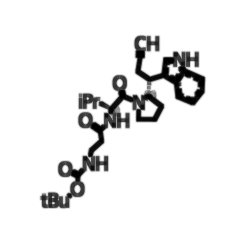 C#CCC(c1c[nH]c2ccccc12)[C@@H]1CCCN1C(=O)[C@@H](NC(=O)CCNC(=O)OC(C)(C)C)C(C)C